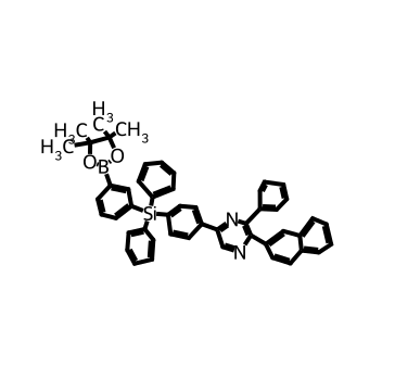 CC1(C)OB(c2cccc([Si](c3ccccc3)(c3ccccc3)c3ccc(-c4cnc(-c5ccc6ccccc6c5)c(-c5ccccc5)n4)cc3)c2)OC1(C)C